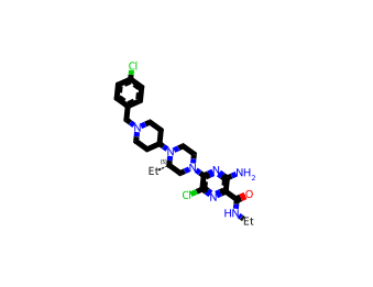 CCNC(=O)c1nc(Cl)c(N2CCN(C3CCN(Cc4ccc(Cl)cc4)CC3)[C@@H](CC)C2)nc1N